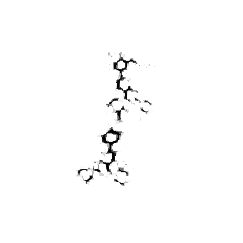 CNC(=O)c1cc(-c2ccc3c(N4CCOC(COc5ccc(-c6ccc7c(N8CCOC[C@@H]8C)nc(N8CCOCC8)nc7n6)cc5C(=O)O)[C@@H]4C)nc(N4CCOCC4)nc3n2)ccc1OC